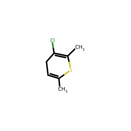 CC1=CCC(Cl)=C(C)S1